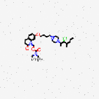 C=C/C=C(C)\C(Cl)=C(/C)N1CCN(CCCCOc2ccc3c(c2)N(COC(=O)N(CC(C)C)CC(C)C)C(=O)CC3)CC1